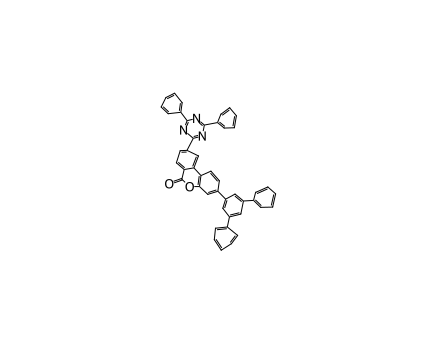 O=c1oc2cc(-c3cc(-c4ccccc4)cc(-c4ccccc4)c3)ccc2c2cc(-c3nc(-c4ccccc4)nc(-c4ccccc4)n3)ccc12